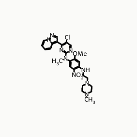 COc1cc(NCCN2CCN(C)CC2)c([N+](=O)[O-])cc1N(C)c1ncc(Cl)c(-c2cnn3ccccc23)n1